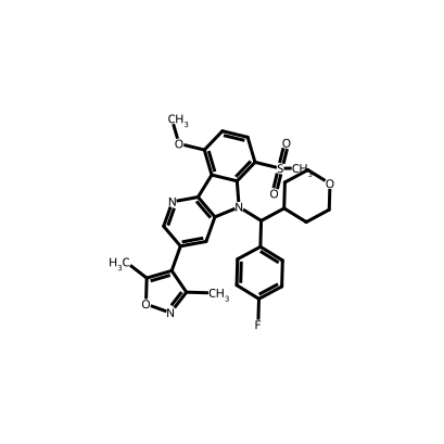 COc1ccc(S(C)(=O)=O)c2c1c1ncc(-c3c(C)noc3C)cc1n2C(c1ccc(F)cc1)C1CCOCC1